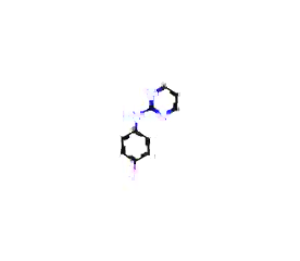 Ic1ccc(Nc2ncccn2)cc1